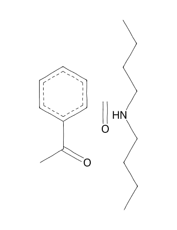 C=O.CC(=O)c1ccccc1.CCCCNCCCC